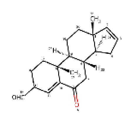 C[C@@]12C=CC[C@H]1[C@@H]1CC(=O)C3=CC(C=O)CC[C@]3(C)[C@H]1CC2